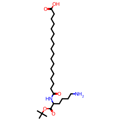 CC(C)(C)OC(=O)C(CCCCN)NC(=O)CCCCCCCCCCCCCCCCC(=O)O